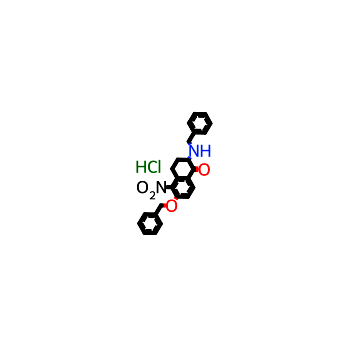 Cl.O=C1c2ccc(OCc3ccccc3)c([N+](=O)[O-])c2CCC1NCc1ccccc1